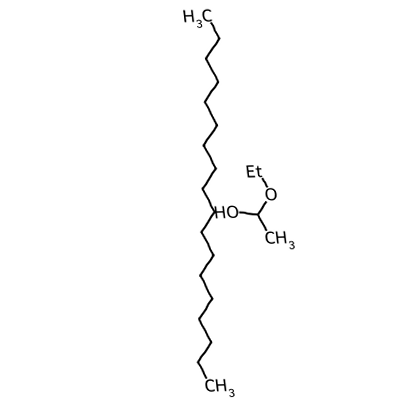 CCCCCCCCCCCCCCCCCC.CCOC(C)O